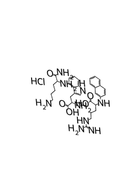 Cl.N=C(N)NCCCC(Nc1ccc2ccccc2c1)C(=O)O.NC(Cc1c[nH]c2ccccc12)C(=O)O.NCCCCC(N)C(N)=O